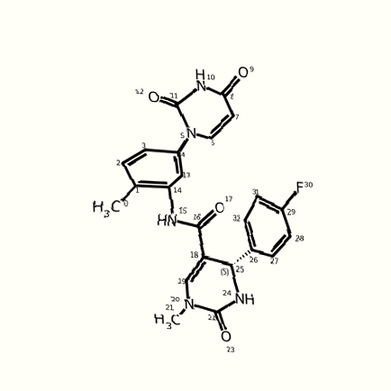 Cc1ccc(-n2ccc(=O)[nH]c2=O)cc1NC(=O)C1=CN(C)C(=O)N[C@H]1c1ccc(F)cc1